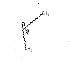 CCCCCCCCCCCCCCCC(C(CCCCCCCCCCCC)Cc1ccccc1)n1ccnc1